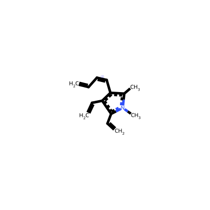 C=C/C=C\c1c(C=C)c(C=C)n(C)c1C